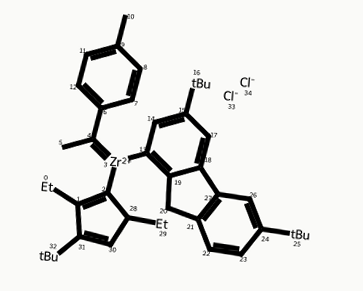 CCC1=[C](/[Zr+2](=[C](\C)c2ccc(C)cc2)[c]2cc(C(C)(C)C)cc3c2Cc2ccc(C(C)(C)C)cc2-3)C(CC)C=C1C(C)(C)C.[Cl-].[Cl-]